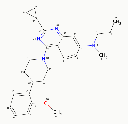 CCCN(C)c1ccc2c(N3CCC(c4ccccc4OC)CC3)nc(C3CC3)nc2c1